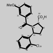 COc1cccc(C(=O)N2[C@H](C(=O)O)CC[C@H]2c2ccccc2Cl)c1